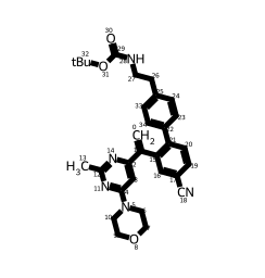 C=C(c1cc(N2CCOCC2)nc(C)n1)c1cc(C#N)ccc1-c1ccc(CCNC(=O)OC(C)(C)C)cc1